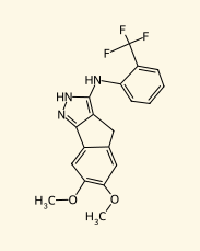 COc1cc2c(cc1OC)-c1n[nH]c(Nc3ccccc3C(F)(F)F)c1C2